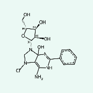 NC1=C2N(Cl)CN([C@@H]3O[C@H](CO)[C@@H](O)[C@H]3O)C2(O)N=C(c2ccccc2)N1